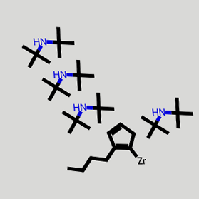 CC(C)(C)NC(C)(C)C.CC(C)(C)NC(C)(C)C.CC(C)(C)NC(C)(C)C.CC(C)(C)NC(C)(C)C.CCCCC1=[C]([Zr])CC=C1